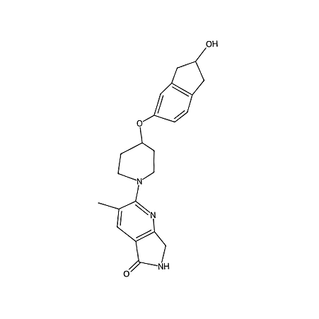 Cc1cc2c(nc1N1CCC(Oc3ccc4c(c3)CC(O)C4)CC1)CNC2=O